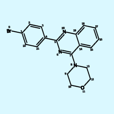 Brc1ccc(-c2nc(N3CCOCC3)c3ccccc3n2)cc1